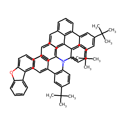 CC(C)(C)c1cc(-c2cccc3cccc(-c4ccccc4N(c4cccc(-c5ccc6oc7ccccc7c6c5)c4)c4ccc(C(C)(C)C)cc4-c4ccccc4)c23)cc(C(C)(C)C)c1